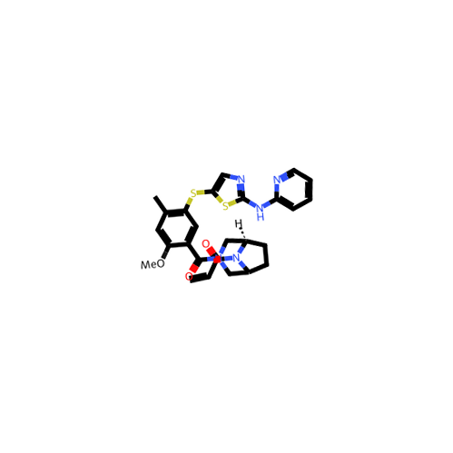 C=CC(=O)N1C2CC[C@@H]1CN(C(=O)c1cc(Sc3cnc(Nc4ccccn4)s3)c(C)cc1OC)C2